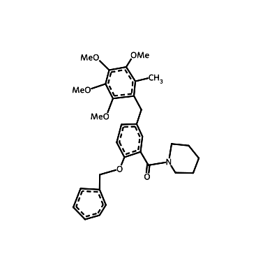 COc1c(C)c(Cc2ccc(OCc3ccccc3)c(C(=O)N3CCCCC3)c2)c(OC)c(OC)c1OC